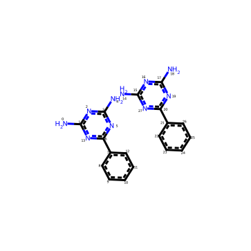 Nc1nc(N)nc(-c2ccccc2)n1.Nc1nc(N)nc(-c2ccccc2)n1